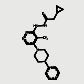 O=C(CC1CC1)NNc1nncc(N2CCC(c3ccccc3)CC2)c1C(F)(F)F